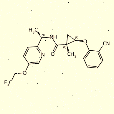 C[C@@H](NC(=O)[C@]1(C)C[C@H]1Oc1ccccc1C#N)c1ccc(OCC(F)(F)F)cn1